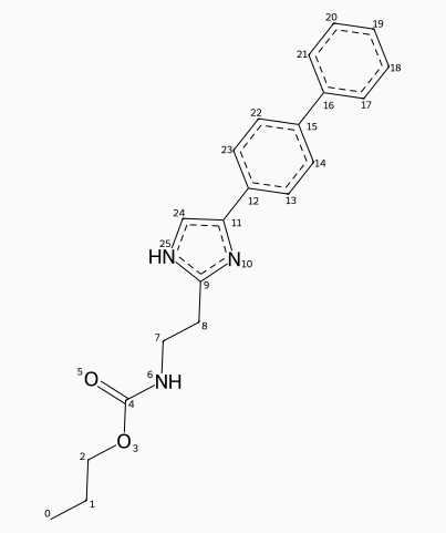 CCCOC(=O)NCCc1nc(-c2ccc(-c3ccccc3)cc2)c[nH]1